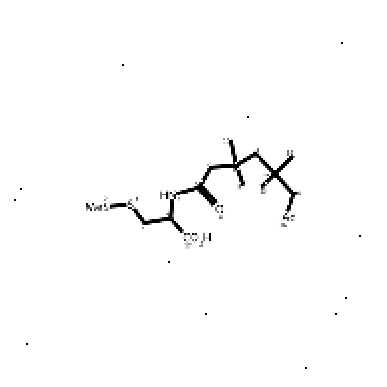 CSSCC(NC(=O)CC(C)(C)CC(C)(C)CC(C)=O)C(=O)O